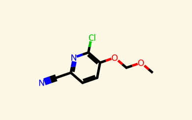 COCOc1ccc(C#N)nc1Cl